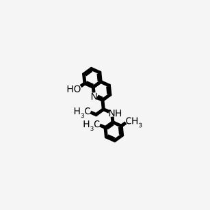 CCC(Nc1c(C)cccc1C)c1ccc2cccc(O)c2n1